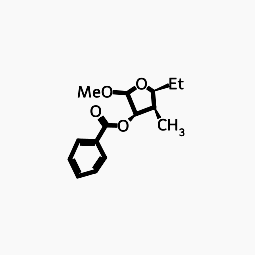 CC[C@@H]1OC(OC)[C@H](OC(=O)c2ccccc2)[C@@H]1C